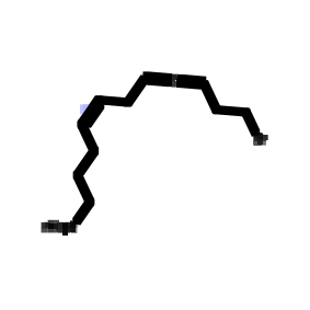 CCCCCCCCCC/C=C\CC=C=CCCBr